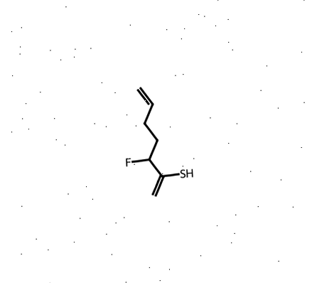 C=CCCC(F)C(=C)S